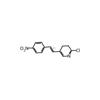 O=[N+]([O-])c1ccc(/C=C/C2=CN=C(Cl)CC2)cc1